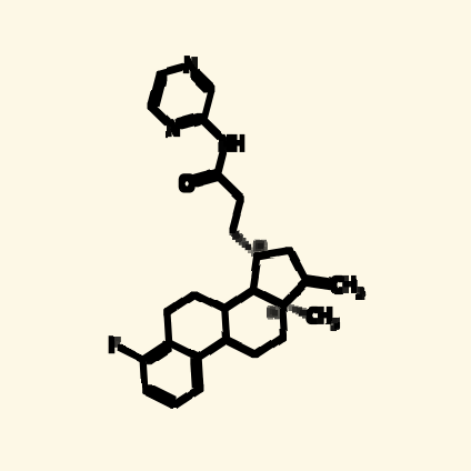 C=C1C[C@@H](CCC(=O)Nc2cnccn2)C2C3CCc4c(F)cccc4C3CC[C@]12C